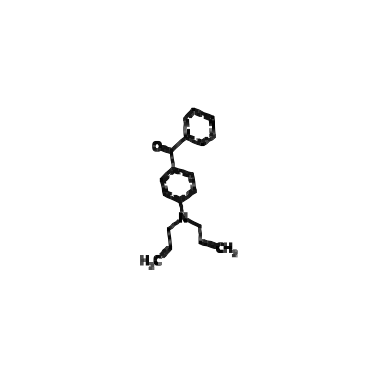 C=CCN(CC=C)c1ccc(C(=O)c2ccccc2)cc1